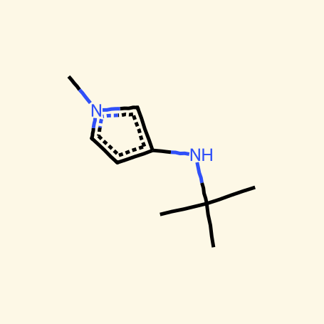 Cn1ccc(NC(C)(C)C)c1